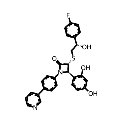 O=C1[C@H](SC[C@@H](O)c2ccc(F)cc2)[C@@H](c2ccc(O)cc2O)N1c1ccc(-c2cccnc2)cc1